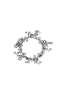 CCCC[C@H]1C(=O)N(C)[C@@H](CCCC)C(=O)N[C@@H](CCCN)C(=O)N[C@H](C(=O)NCC(N)=O)CSCC(=O)N[C@@H](Cc2ccc(OC)cc2)C(=O)N(C)[C@@H](C)C(=O)N[C@@H](CC(=O)O)C(=O)N2CCC[C@H]2C(=O)N[C@@H](CN)C(=O)N[C@@H](CCC(=O)O)C(=O)N2C[C@H](O)C[C@H]2C(=O)N[C@@H](Cc2c[nH]c3ccccc23)C(=O)N[C@@H](CCN)C(=O)N[C@@H](Cc2c[nH]c3ccccc23)C(=O)N1C